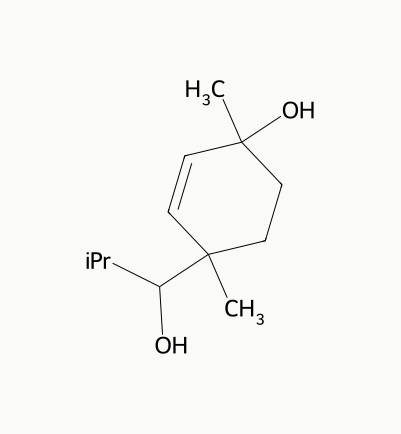 CC(C)C(O)C1(C)C=CC(C)(O)CC1